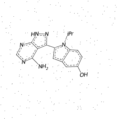 CC(C)n1c(-c2n[nH]c3ncnc(N)c23)cc2cc(O)ccc21